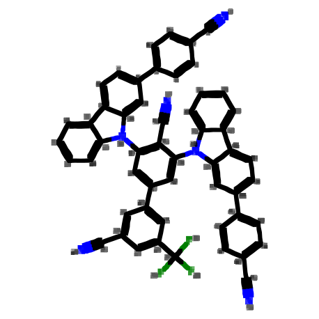 N#Cc1ccc(-c2ccc3c4ccccc4n(-c4cc(-c5cc(C#N)cc(C(F)(F)F)c5)cc(-n5c6ccccc6c6ccc(-c7ccc(C#N)cc7)cc65)c4C#N)c3c2)cc1